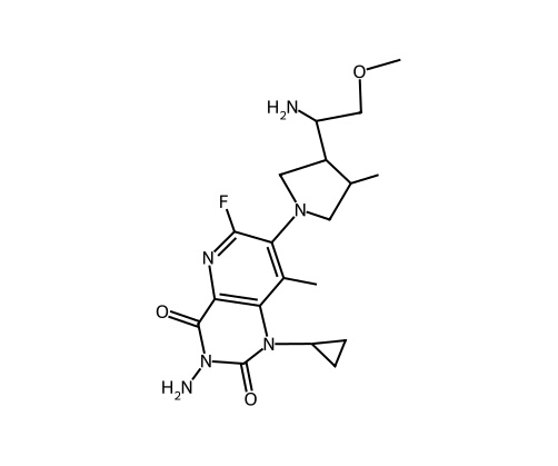 COCC(N)C1CN(c2c(F)nc3c(=O)n(N)c(=O)n(C4CC4)c3c2C)CC1C